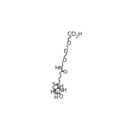 O=C(O)CCOCCOCCOCCNC(=O)CCCC[C@@H]1SC[C@@H]2NC(=O)N[C@@H]21